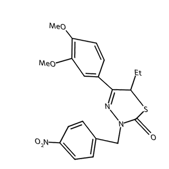 CCC1SC(=O)N(Cc2ccc([N+](=O)[O-])cc2)N=C1c1ccc(OC)c(OC)c1